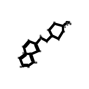 CN1CCC(COc2ccc3cncnc3c2)CC1